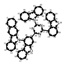 c1ccc2cc3c(cc2c1)c1ccccc1n3-c1cc(-c2nc(-c3cccc4sc5ccccc5c34)nc(-n3c4ccccc4c4ccccc43)n2)cc2oc3ccccc3c12